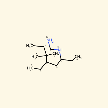 CCC(CC(CC)C(C)(C)CC)NCN